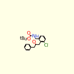 CC(C)(C)OC(=O)NCc1cccc(Cl)c1CC(=O)Cc1ccccc1